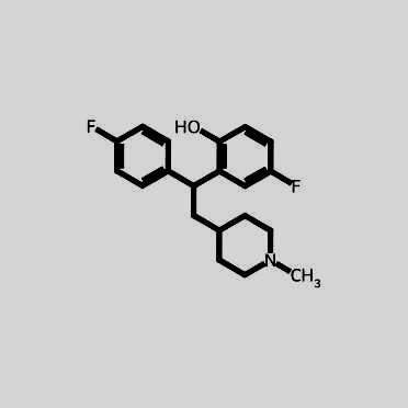 CN1CCC(CC(c2ccc(F)cc2)c2cc(F)ccc2O)CC1